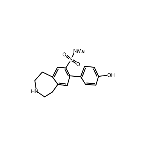 CNS(=O)(=O)c1cc2c(cc1-c1ccc(O)cc1)CCNCC2